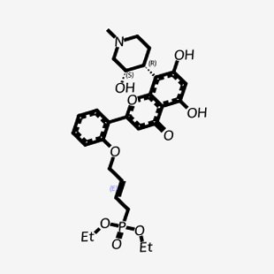 CCOP(=O)(C/C=C/COc1ccccc1-c1cc(=O)c2c(O)cc(O)c([C@H]3CCN(C)C[C@H]3O)c2o1)OCC